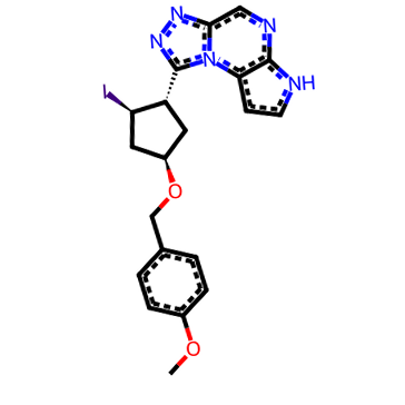 COc1ccc(CO[C@H]2C[C@@H](I)[C@H](c3nnc4cnc5[nH]ccc5n34)C2)cc1